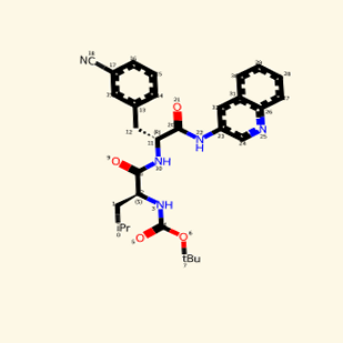 CC(C)C[C@H](NC(=O)OC(C)(C)C)C(=O)N[C@H](Cc1cccc(C#N)c1)C(=O)Nc1cnc2ccccc2c1